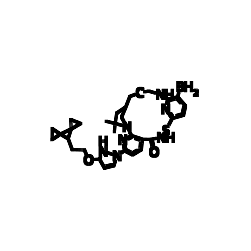 Bc1ccc2nc1NCCCC1CN(c3nc(N4C=CC(OCCC5C6(CC6)C56CC6)N4)ccc3C(=O)NS2)C(C)(C)C1